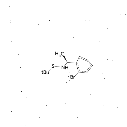 C[C@H](NSC(C)(C)C)c1ccccc1Br